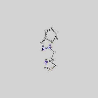 c1ccc2c(c1)cnn2Cc1cscn1